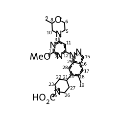 COc1nc(N2CCOC(C)C2)cc(-n2ncc3cc(C)c(C4CCN(C(=O)O)CC4)cc32)n1